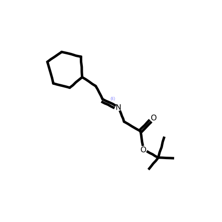 CC(C)(C)OC(=O)C/N=C/CC1CCCCC1